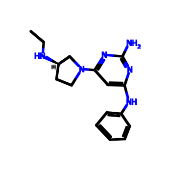 CCN[C@@H]1CCN(c2cc(Nc3ccccc3)nc(N)n2)C1